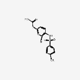 Cc1ccc(S(=O)(=O)Nc2ccc(OC(N)=O)nc2Br)cc1